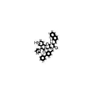 O=C1N[C@@H](Cc2ccc3ccccc3c2)C(=O)N(Cc2ccc(-c3ccccc3)cc2)[C@H]1CN(CC1CCNCC1)C(=O)Cn1ccnc1